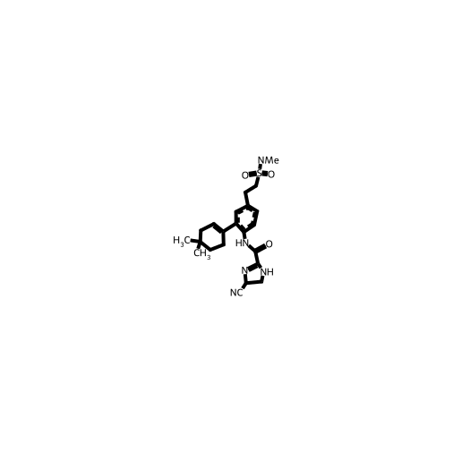 CNS(=O)(=O)CCc1ccc(NC(=O)C2=NC(C#N)CN2)c(C2=CCC(C)(C)CC2)c1